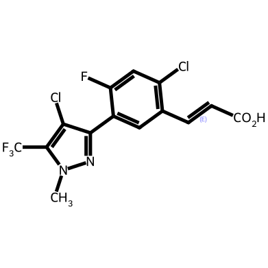 Cn1nc(-c2cc(/C=C/C(=O)O)c(Cl)cc2F)c(Cl)c1C(F)(F)F